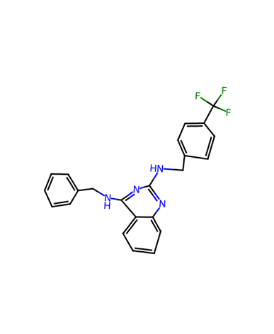 FC(F)(F)c1ccc(CNc2nc(NCc3ccccc3)c3ccccc3n2)cc1